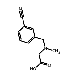 CN(CC(=O)O)Cc1cccc(C#N)c1